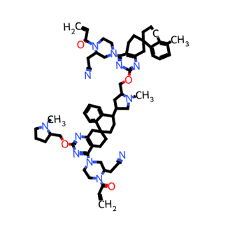 C=CC(=O)N1CCN(c2nc(OCC3CCCN3C)nc3c2CCC2(CCC(C4CC(COc5nc6c(c(N7CCN(C(=O)C=C)C(CC#N)C7)n5)CCC5(CCCc7c(C)cccc75)C6)N(C)C4)c4ccccc42)C3)CC1CC#N